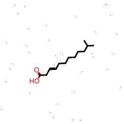 CC(C)CCCCCCC=CCC(=O)O